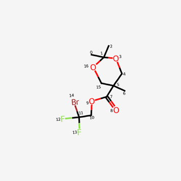 CC1(C)OCC(C)(C(=O)OCC(F)(F)Br)CO1